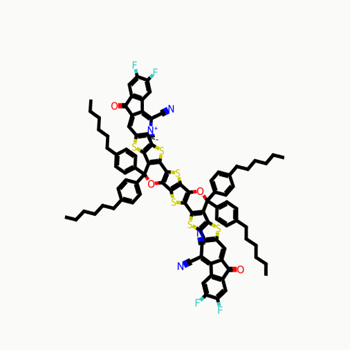 [C-]#[N+]/C(C#N)=C1\C(=C/c2cc3sc4c(c3s2)C(c2ccc(CCCCCC)cc2)(c2ccc(CCCCCC)cc2)Oc2c-4sc3c4c(sc23)-c2sc3cc(/C=C5/C(=O)c6cc(F)c(F)cc6C5=C(C#N)C#N)sc3c2C(c2ccc(CCCCCC)cc2)(c2ccc(CCCCCC)cc2)O4)C(=O)c2cc(F)c(F)cc21